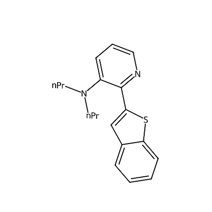 CCCN(CCC)c1cccnc1-c1cc2ccccc2s1